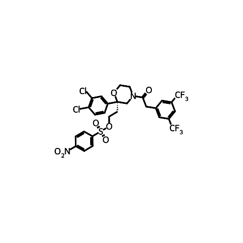 O=C(Cc1cc(C(F)(F)F)cc(C(F)(F)F)c1)N1CCO[C@](CCOS(=O)(=O)c2ccc([N+](=O)[O-])cc2)(c2ccc(Cl)c(Cl)c2)C1